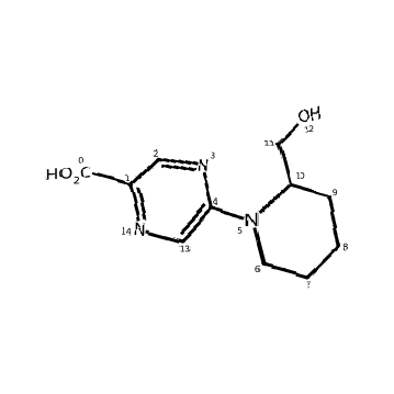 O=C(O)c1cnc(N2CCCCC2CO)cn1